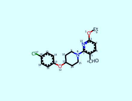 CCOc1ccc(C=O)c(N2CCC(Oc3ccc(Cl)cc3)CC2)n1